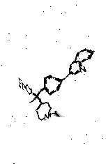 CCOC(C)(c1ccc(-c2cnc3ccccc3c2)cc1)C1CCNCC1